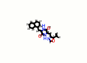 C=C(C)c1ocnc1/C=c1\[nH]c(=O)/c(=C/c2cccc3ccccc23)[nH]c1=O